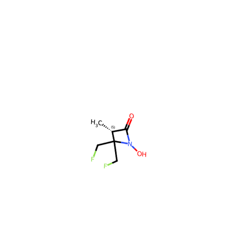 C[C@@H]1C(=O)N(O)C1(CF)CF